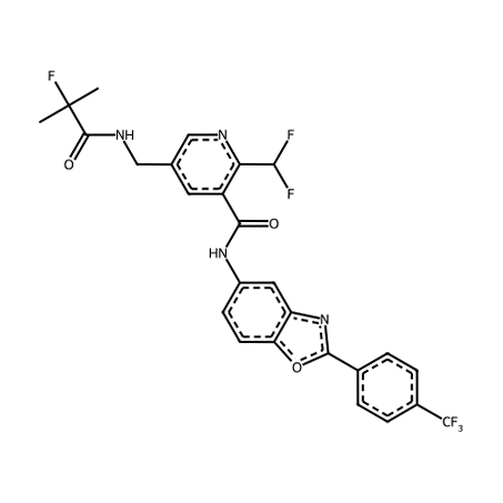 CC(C)(F)C(=O)NCc1cnc(C(F)F)c(C(=O)Nc2ccc3oc(-c4ccc(C(F)(F)F)cc4)nc3c2)c1